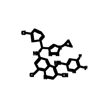 N#Cc1cnc2c(Cl)cc(N[C@@H](c3cccc(Cl)c3)c3cn(C4CC4)nn3)cc2c1Nc1cnc(F)c(F)c1